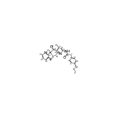 CCSc1ccc(CC(=O)Nc2cc(C)c3c(n2)CCC(C)(c2ncccc2F)C3=O)cc1